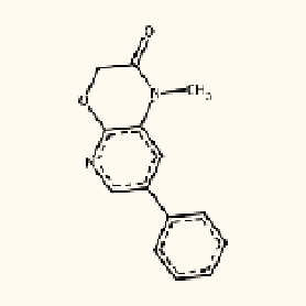 CN1C(=O)COc2ncc(-c3ccccc3)cc21